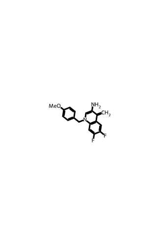 C=C1C(N)=CN(Cc2ccc(OC)cc2)c2cc(F)c(F)cc21